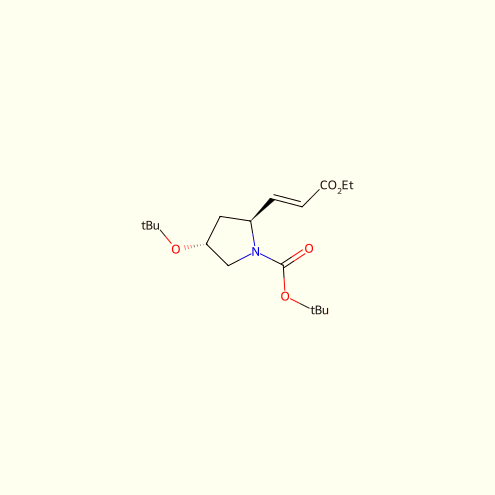 CCOC(=O)/C=C/[C@@H]1C[C@@H](OC(C)(C)C)CN1C(=O)OC(C)(C)C